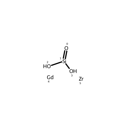 O=[Si](O)O.[Gd].[Zr]